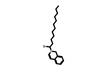 CCCCCCCCCCCC(Br)N1C=Cc2ccccc2C1